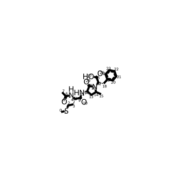 CSCC[C@H](NC(C)=O)C(=O)N[C@H]1CC(C)N([C@@H](Cc2ccccc2)C(=O)O)C1=O